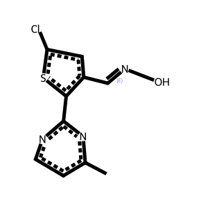 Cc1ccnc(-c2sc(Cl)cc2/C=N/O)n1